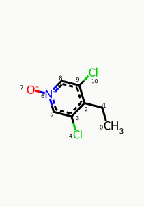 C[CH]c1c(Cl)c[n+]([O-])cc1Cl